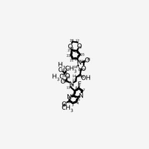 COc1ccc2ncc(F)c(CN(CC[C@@H](O)[C@@H]3CN(c4ccc5c(c4)OCCO5)C(=O)O3)C(=O)OC(C)(C)C)c2n1